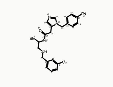 CCC(C)C(CNCc1cccc(Cl)c1)NC(=O)Cc1cncn1Cc1ccc(C#N)cc1